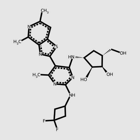 Cc1cc2sc(-c3c(C)nc(NC4CC(F)(F)C4)nc3N[C@@H]3C[C@H](CO)[C@@H](O)[C@H]3O)nc2c(C)n1